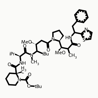 CCC(C)C([C@@H](CC(=O)N1CCC[C@H]1[C@H](OC)C(C)C(=O)NC(Cc1ccccc1)c1nccs1)OC)N(C)C(=O)[C@@H](NC(=O)[C@@]1(C)CCCCN1C(=O)OC(C)(C)C)C(C)C